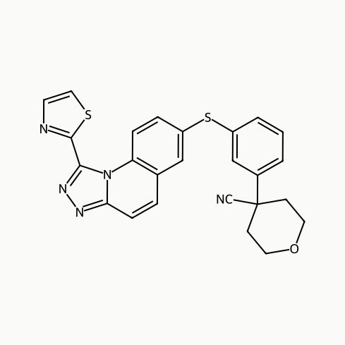 N#CC1(c2cccc(Sc3ccc4c(ccc5nnc(-c6nccs6)n54)c3)c2)CCOCC1